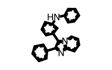 c1ccc(Nc2cccc(-c3c(-c4ccccc4)nc4ccccn34)c2)cc1